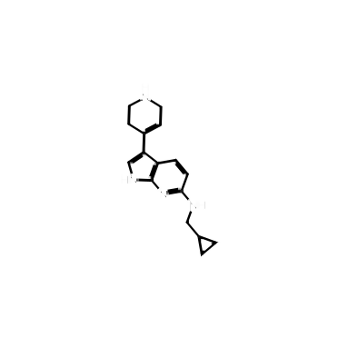 C1=C(c2c[nH]c3nc(NCC4CC4)ccc23)CCNC1